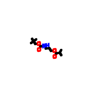 CC(C)C(=O)OCCCNC(=O)OCC(C)(C)C